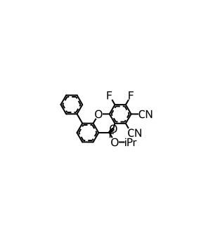 CC(C)OC(=O)c1cccc(-c2ccccc2)c1Oc1c(F)c(F)c(C#N)c(C#N)c1F